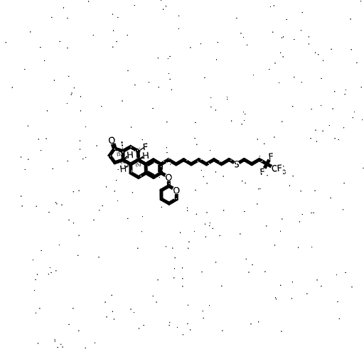 C[C@]12C[C@H](F)[C@@H]3c4cc(CCCCCCCCCSCCCC(F)(F)C(F)(F)F)c(OC5CCCCO5)cc4CC[C@H]3[C@@H]1CCC2=O